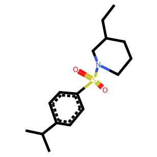 CCC1CCCN(S(=O)(=O)c2ccc(C(C)C)cc2)C1